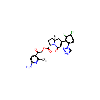 Nc1ccc(C(=O)COC(=O)[C@@H]2CC[C@@H]3CC(c4c(-n5cnnn5)ccc(Cl)c4F)=CC(=O)N32)c(C(F)(F)F)n1